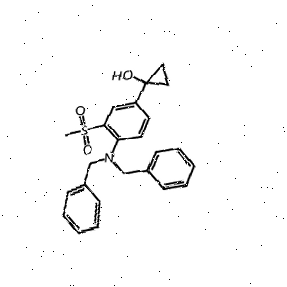 CS(=O)(=O)c1cc(C2(O)CC2)ccc1N(Cc1ccccc1)Cc1ccccc1